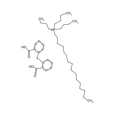 CCCCCCCCCCCCCCCC[PH](CCCC)(CCCC)CCCC.O=C(O)c1ccccc1Sc1ccccc1C(=O)O